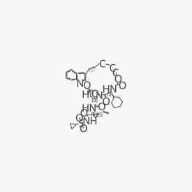 C=C[C@@H]1C[C@]1(NC(=O)[C@@H]1C[C@@H]2CN1C(=O)[C@H](C1CCCCC1)NC(=O)OCCCCC/C=C/c1cc3ccccc3nc1O2)C(=O)NS(=O)(=O)C1CC1